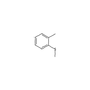 CSc1cc[c]cc1C